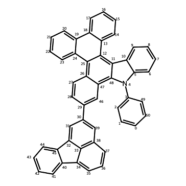 c1ccc(-n2c3ccccc3c3c4c5ccccc5c5ccccc5c4c4ccc(-c5cc6c7c(cccc7c5)-c5ccccc5-6)cc4c32)cc1